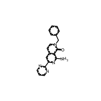 Nc1nc(-c2ncccn2)cc2ccn(Cc3ccccc3)c(=O)c12